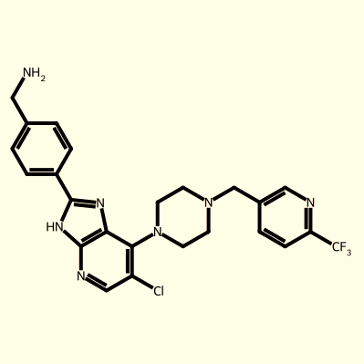 NCc1ccc(-c2nc3c(N4CCN(Cc5ccc(C(F)(F)F)nc5)CC4)c(Cl)cnc3[nH]2)cc1